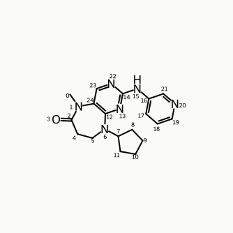 CN1C(=O)CCN(C2CCCC2)c2nc(Nc3cccnc3)ncc21